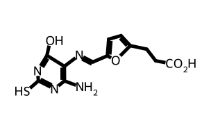 Nc1nc(S)nc(O)c1N=Cc1ccc(CCC(=O)O)o1